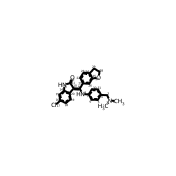 CN(C)Cc1ccc(NC(=C2C(=O)Nc3cc(Cl)ccc32)c2ccc3c(c2)OCC3)cc1